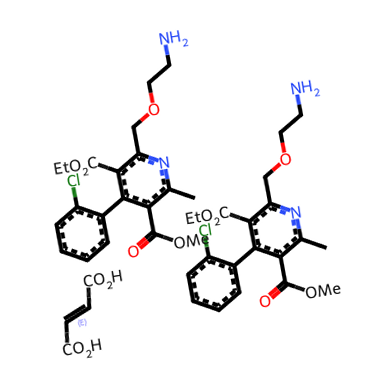 CCOC(=O)c1c(COCCN)nc(C)c(C(=O)OC)c1-c1ccccc1Cl.CCOC(=O)c1c(COCCN)nc(C)c(C(=O)OC)c1-c1ccccc1Cl.O=C(O)/C=C/C(=O)O